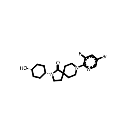 O=C1N([C@H]2CC[C@@H](O)CC2)CCC12CCN(c1ncc(Br)cc1F)CC2